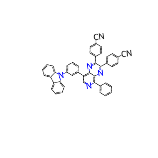 N#Cc1ccc(-c2nc3c(-c4cccc(-n5c6ccccc6c6ccccc65)c4)cnc(-c4ccccc4)c3nc2-c2ccc(C#N)cc2)cc1